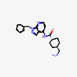 NC[C@H]1CC[C@H](C(=O)Nc2ccnc3c2cnn3Cc2ccccc2)CC1